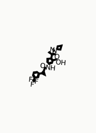 O=C(O)c1cc(NC(=O)C2CC2c2cccc(C(F)(F)F)c2)ccc1-c1cnn(C2CCC2)c1